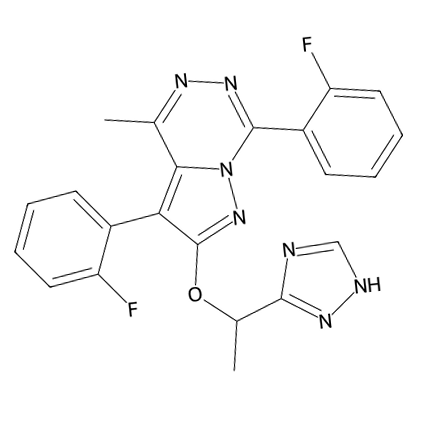 Cc1nnc(-c2ccccc2F)n2nc(OC(C)c3nc[nH]n3)c(-c3ccccc3F)c12